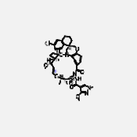 COc1nn(C)cc1C(=O)N[S@@]1(=O)=NC(=O)c2ccc3c(c2)N(C[C@@H]2CC[C@H]2[C@@H](OC)/C=C/C[C@H](C)[C@H]1C)C[C@@]1(CCCc2cc(Cl)ccc21)CO3